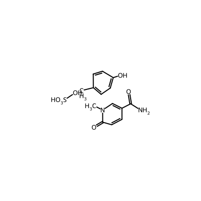 Cc1ccc(O)cc1.Cn1cc(C(N)=O)ccc1=O.O=S(=O)(O)O